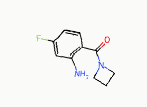 Nc1cc(F)ccc1C(=O)N1CCC1